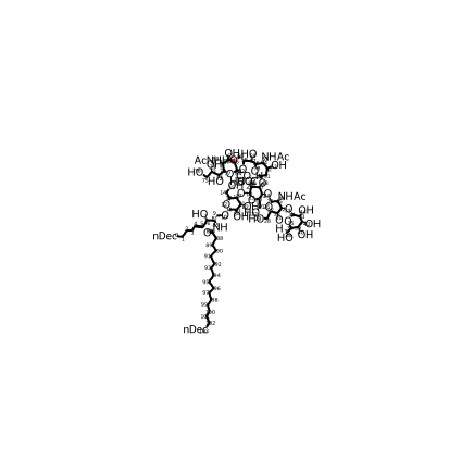 CCCCCCCCCCCCC/C=C/[C@@H](O)[C@H](CO[C@@H]1OC(CO)[C@@H](O[C@@H]2OC(CO)[C@H](O[C@@H]3OC(CO)[C@H](O)[C@H](O[C@@H]4OC(CO)[C@H](O)[C@H](O)C4O)C3NC(C)=O)[C@H](O[C@]3(C(=O)O)CC(O)[C@@H](NC(C)=O)C([C@H](O)[C@@H](CO)O[C@]4(C(=O)O)CC(O)[C@@H](NC(C)=O)C([C@H](O)[C@H](O)CO)O4)O3)C2O)[C@H](O)C1O)NC(=O)CCCCCCCCCCCCCCCCCCCCCCCCC